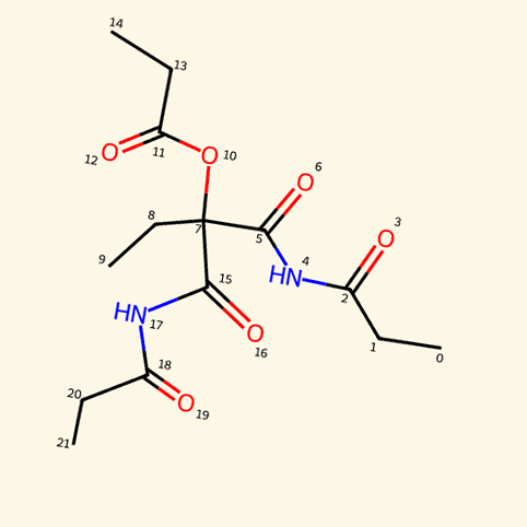 CCC(=O)NC(=O)C(CC)(OC(=O)CC)C(=O)NC(=O)CC